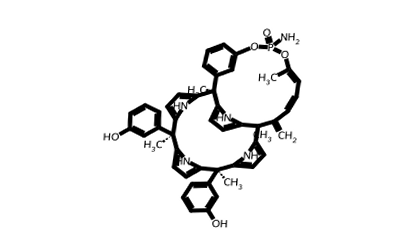 C=C1/C=C\C=C(/C)OP(N)(=O)Oc2cccc(c2)[C@@]2(C)c3ccc([nH]3)[C@]1(C)c1ccc([nH]1)[C@@](C)(c1cccc(O)c1)c1ccc([nH]1)[C@@](C)(c1cccc(O)c1)c1ccc2[nH]1